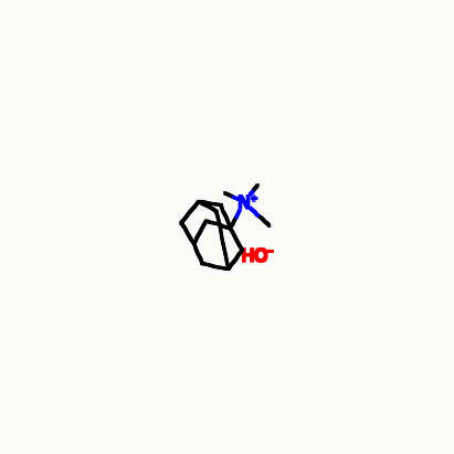 C[N+](C)(C)C12CC3CC(CC(C3)C1)C2.[OH-]